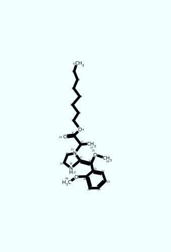 CCCCCCCCOC(=O)C(C)N1CCNC1=C(OC)c1ccccc1OC